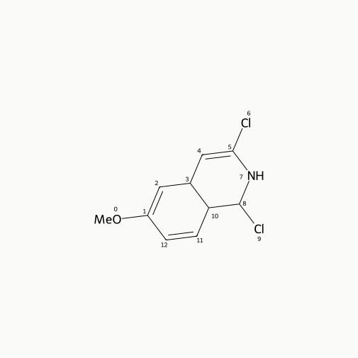 COC1=CC2C=C(Cl)NC(Cl)C2C=C1